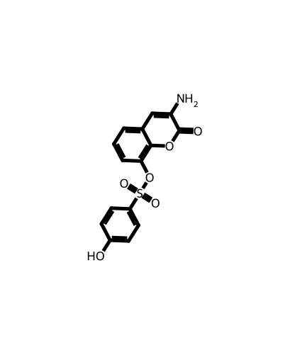 Nc1cc2cccc(OS(=O)(=O)c3ccc(O)cc3)c2oc1=O